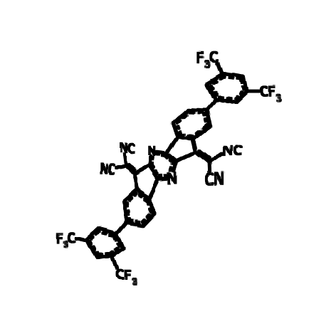 [C-]#[N+]/C(C#N)=C1/c2cc(-c3cc(C(F)(F)F)cc(C(F)(F)F)c3)ccc2-c2nc3c(nc21)-c1ccc(-c2cc(C(F)(F)F)cc(C(F)(F)F)c2)cc1/C3=C(/C#N)[N+]#[C-]